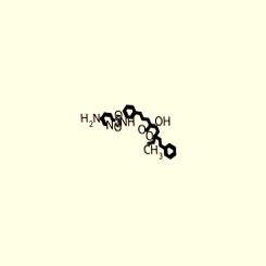 CCCC1(CCc2ccccc2)CC(O)=C(CCCc2cccc(NS(=O)(=O)c3ccc(N)cn3)c2)C(=O)O1